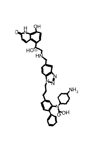 NC1CCC(N(C(=O)O)c2cc(CCCn3nnc4cc(CNC[C@@H](O)c5ccc(O)c6[nH]c(=O)ccc56)ccc43)ccc2-c2ccccc2)CC1